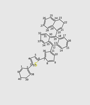 C1=CC(c2ccc(-c3cccc(-c4c5ccccc5c(C5=CCCc6ccccc65)c5ccccc45)c3)s2)=CCC1